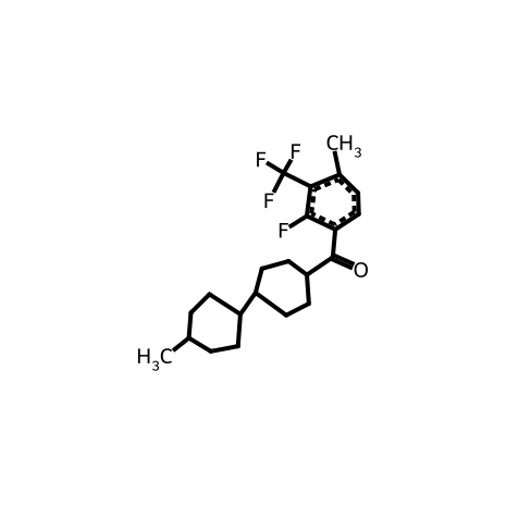 Cc1ccc(C(=O)C2CCC(C3CCC(C)CC3)CC2)c(F)c1C(F)(F)F